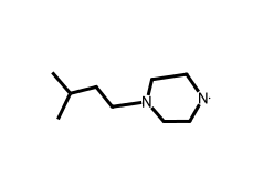 CC(C)CCN1CC[N]CC1